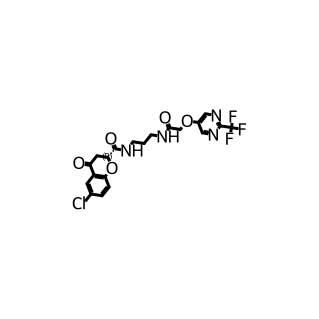 O=C(COc1cnc(C(F)(F)F)nc1)NCCCNC(=O)[C@H]1CC(=O)c2cc(Cl)ccc2O1